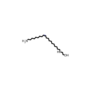 NCCCCCCCC/C=C\CCCCCCCCCCNCCO